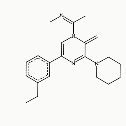 C=C1C(N2CCCCC2)=NC(c2cccc(CC)c2)=CN1/C(C)=N\C